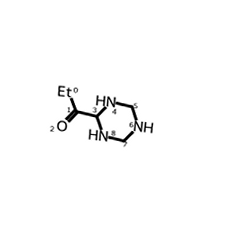 CCC(=O)C1NCNCN1